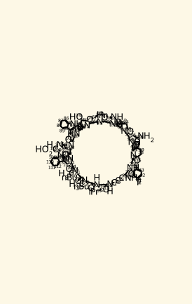 CCCC[C@H]1C(=O)N(C)[C@@H](CCCC)C(=O)N[C@@H](CC(C)C)C(=O)NCCC[C@H](N)C(=O)N[C@@H](Cc2ccc(F)cc2)C(=O)N2CCCC[C@H]2C(=O)N[C@@H](CC(N)=O)C(=O)N2CCC[C@H]2C(=O)N[C@@H](CN)C(=O)N[C@@H](CC(C)C)C(=O)N2C[C@H](O)C[C@H]2C(=O)N[C@@H](Cc2c[nH]c3ccccc23)C(=O)N[C@@H](CCN)C(=O)N[C@@H](Cc2cn(CC(=O)O)c3ccccc23)C(=O)N1C